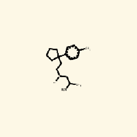 CCN(CCC1(c2ccc(C)cc2)CCCC1)CC(C)N